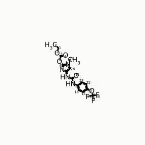 CCOC(=O)Oc1nc(NC(=O)Nc2ccc(OC(F)(F)F)cc2)cn1C